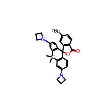 CC(C)(C)c1ccc2c(c1)C1(OC2=O)c2ccc(N3CCC3)cc2[Si](C)(C)c2cc(N3CCC3)ccc21